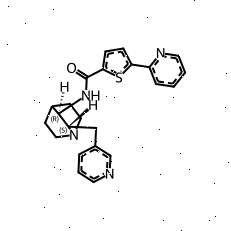 O=C(N[C@@H]1C2CCN(CC2)[C@H]1Cc1cccnc1)c1ccc(-c2ccccn2)s1